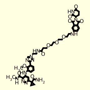 CNC(=O)c1nnc(C2(C(N)=O)CC2)cc1Nc1cccc(-c2ncn(CCNC(=O)CCOCCOCCOCCNc3ccc4c(c3)C(=O)N(C3CCC(=O)NC3=O)C4=O)n2)c1OC